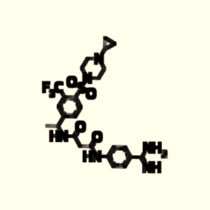 CC(NC(=O)CC(=O)Nc1ccc(C(=N)N)cc1)c1ccc(S(=O)(=O)N2CCN(C3CC3)CC2)c(C(F)(F)F)c1